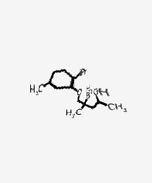 BC(C)(COC1CC(C)CCC1C(C)C)CC(C)O